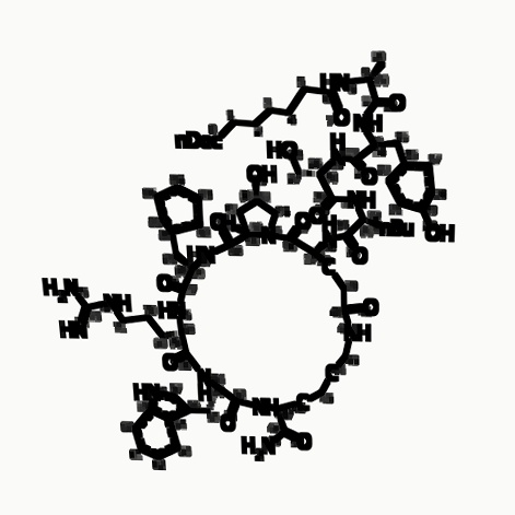 CCCCCCCCCCCCCCCC(=O)N[C@@H](C)C(=O)N[C@@H](Cc1ccc(O)cc1)C(=O)N[C@@H](CO)C(=O)N[C@@H](CCCC)C(=O)N[C@H]1CCC(=O)NCCCC[C@@H](C(N)=O)NC(=O)[C@H](Cc2c[nH]c3ccccc23)NC(=O)[C@H](CCCNC(=N)N)NC(=O)[C@@H](Cc2ccccc2)NC(=O)[C@@H]2C[C@@H](O)CN2C1=O